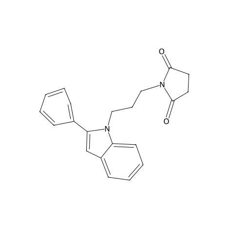 O=C1CCC(=O)N1CCCn1c(-c2ccccc2)cc2ccccc21